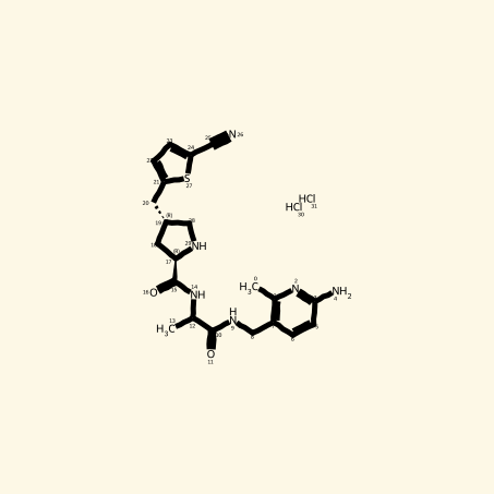 Cc1nc(N)ccc1CNC(=O)C(C)NC(=O)[C@H]1C[C@H](Cc2ccc(C#N)s2)CN1.Cl.Cl